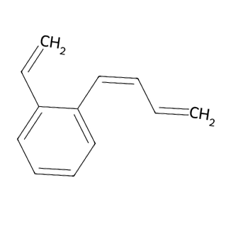 C=C/C=C\c1ccccc1C=C